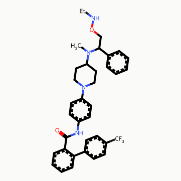 CCNOCC(c1ccccc1)N(C)C1CCN(c2ccc(NC(=O)c3ccccc3-c3ccc(C(F)(F)F)cc3)cc2)CC1